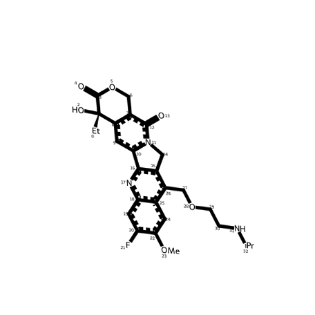 CC[C@@]1(O)C(=O)OCc2c1cc1n(c2=O)Cc2c-1nc1cc(F)c(OC)cc1c2COCCNC(C)C